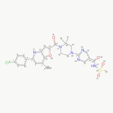 CC(C)(C)c1cc(-c2ccc(Cl)cc2)nc2cc(C(=O)N3CCN(c4ncc(C(=O)NS(C)(=O)=O)cn4)CC3(C)C)oc12